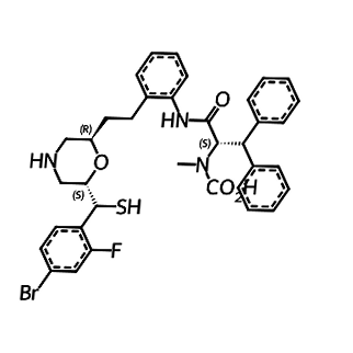 CN(C(=O)O)[C@H](C(=O)Nc1ccccc1CC[C@@H]1CNC[C@@H](C(S)c2ccc(Br)cc2F)O1)C(c1ccccc1)c1ccccc1